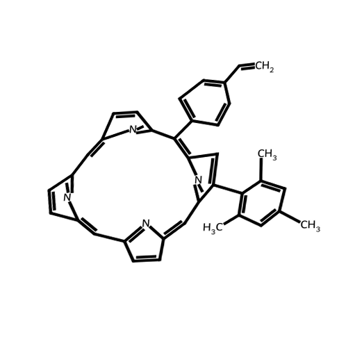 C=Cc1ccc(C2=C3C=C(c4c(C)cc(C)cc4C)C(=N3)C=C3C=CC(=N3)C=C3C=CC(=N3)C=C3C=CC2=N3)cc1